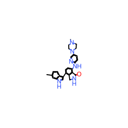 Cc1ccc2c(-c3ccc(Nc4ccc(N5CCN(C)CC5)cn4)c4c3CNC4=O)c[nH]c2c1